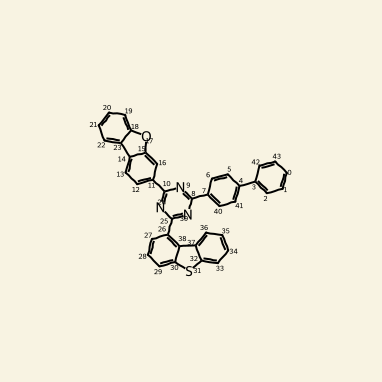 c1ccc(-c2ccc(-c3nc(-c4ccc5c(c4)oc4ccccc45)nc(-c4cccc5sc6ccccc6c45)n3)cc2)cc1